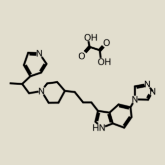 CC(CN1CCC(CCCc2c[nH]c3ccc(-n4cnnc4)cc23)CC1)c1ccncc1.O=C(O)C(=O)O